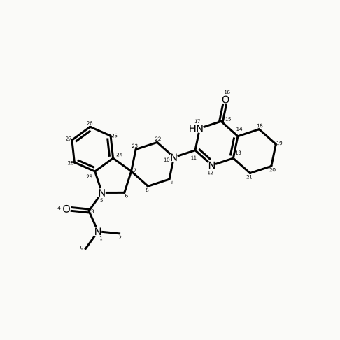 CN(C)C(=O)N1CC2(CCN(c3nc4c(c(=O)[nH]3)CCCC4)CC2)c2ccccc21